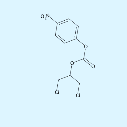 O=C(Oc1ccc([N+](=O)[O-])cc1)OC(CCl)CCl